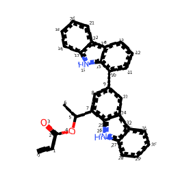 C=CC(=O)OC(C)c1cc(-c2cccc3c2[nH]c2ccccc23)cc2c1[nH]c1ccccc12